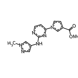 COC(=O)c1ccn(-c2ccnc(Nc3cnn(C)c3)n2)c1